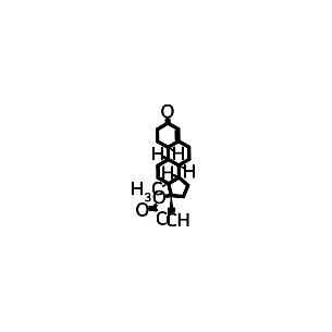 C#C[C@]1(OC(=O)Cl)CC[C@H]2[C@@H]3CCC4=CC(=O)CC[C@@H]4[C@H]3CC[C@@]21C